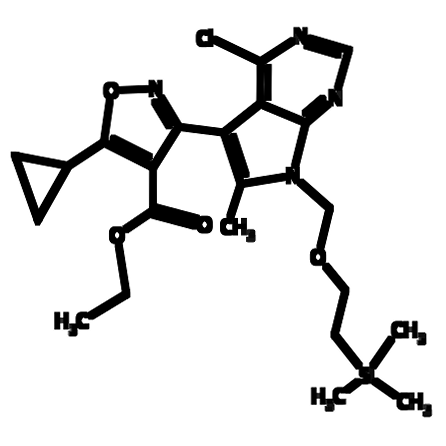 CCOC(=O)c1c(-c2c(C)n(COCC[Si](C)(C)C)c3ncnc(Cl)c23)noc1C1CC1